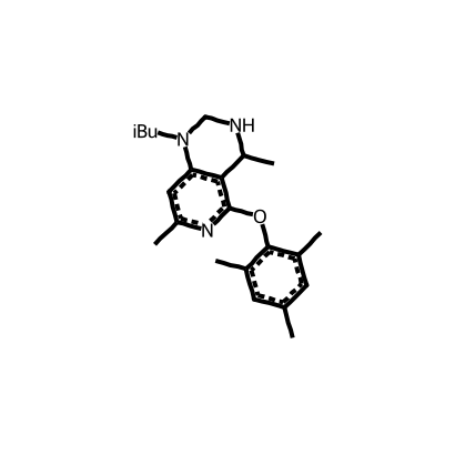 CCC(C)N1CNC(C)c2c1cc(C)nc2Oc1c(C)cc(C)cc1C